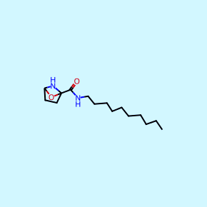 CCCCCCCCCCNC(=O)C12CCC(N1)O2